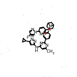 Cc1cc(Nc2cc(C3CC3)[nH]n2)nc(-c2ccc(N3CC4CC(C3)N4Cc3ccc(-n4cc(F)cn4)nc3)nc2)n1